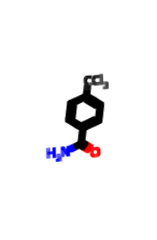 NC(=O)c1ccc(C(Cl)(Cl)Cl)cc1